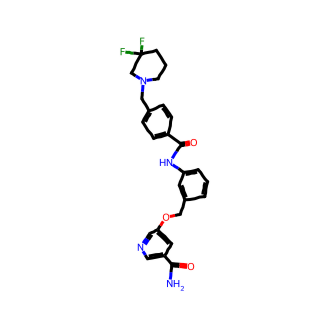 NC(=O)c1cncc(OCc2cccc(NC(=O)c3ccc(CN4CCCC(F)(F)C4)cc3)c2)c1